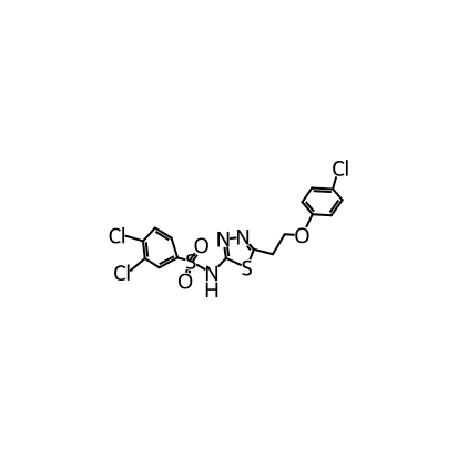 O=S(=O)(Nc1nnc(CCOc2ccc(Cl)cc2)s1)c1ccc(Cl)c(Cl)c1